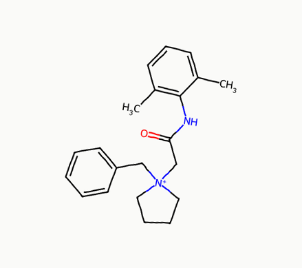 Cc1cccc(C)c1NC(=O)C[N+]1(Cc2ccccc2)CCCC1